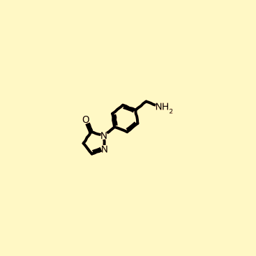 NCc1ccc(N2N=CCC2=O)cc1